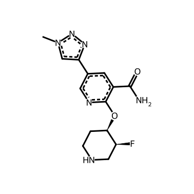 Cn1cc(-c2cnc(O[C@@H]3CCNC[C@@H]3F)c(C(N)=O)c2)nn1